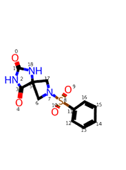 O=C1NC(=O)C2(CN(S(=O)(=O)c3ccccc3)C2)N1